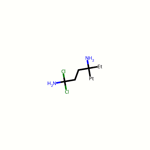 CC[C](N)([Pt])CCC(N)(Cl)Cl